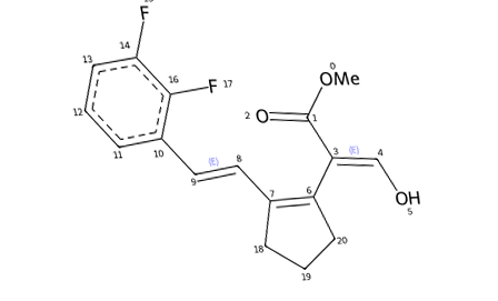 COC(=O)/C(=C/O)C1=C(/C=C/c2cccc(F)c2F)CCC1